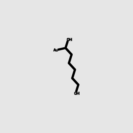 OCCCCC[CH](O)[Au]